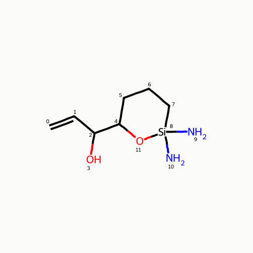 C=CC(O)C1CCC[Si](N)(N)O1